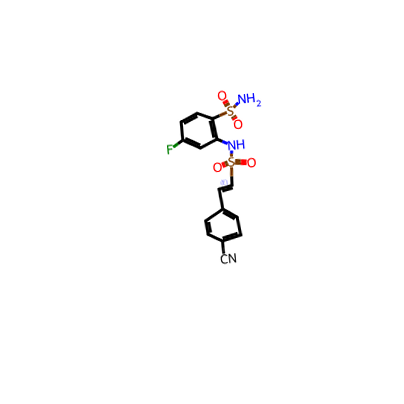 N#Cc1ccc(/C=C/S(=O)(=O)Nc2cc(F)ccc2S(N)(=O)=O)cc1